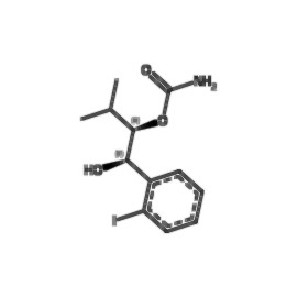 CC(C)[C@@H](OC(N)=O)[C@H](O)c1ccccc1I